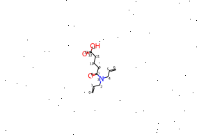 C=CCN(CC=C)C(=O)CCCC(=O)O